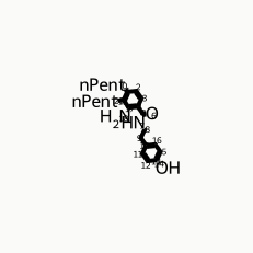 CCCCCc1ccc(C(=O)NCCc2ccc(O)cc2)c(N)c1CCCCC